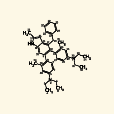 CCN(CC)c1ccc(-c2cc3[nH]c(C)[c]c3c(Cc3ccccc3)c2-c2ccc(N(CC)CC)cc2C)c(C)c1